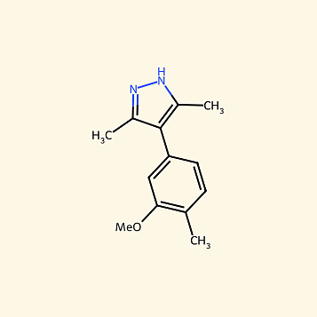 COc1cc(-c2c(C)n[nH]c2C)ccc1C